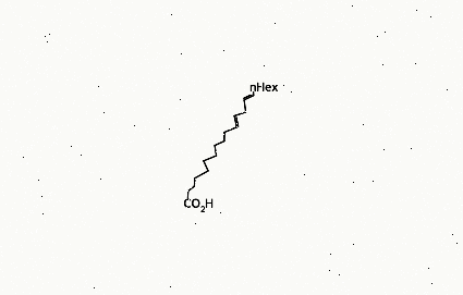 CCCCCCC=CCC=CCCCCCCCCCC(=O)O